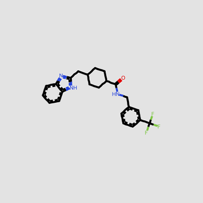 O=C(NCc1cccc(C(F)(F)F)c1)C1CCC(Cc2nc3ccccc3[nH]2)CC1